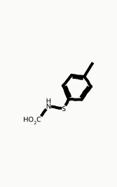 Cc1ccc(SNC(=O)O)cc1